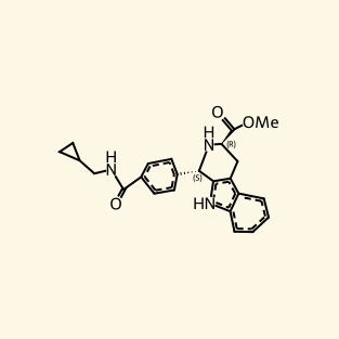 COC(=O)[C@H]1Cc2c([nH]c3ccccc23)[C@H](c2ccc(C(=O)NCC3CC3)cc2)N1